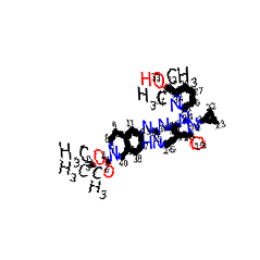 CC(C)(C)OC(=O)N1CCc2cc(Nc3ncc4c(=O)n(C5CC5)n(-c5cccc(C(C)(C)O)n5)c4n3)ccc2C1